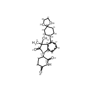 CC1(C)C(=O)N(C2CCC(=O)NC2=O)c2cccc(N3CCC4(CC3)OCCO4)c21